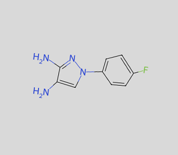 Nc1cn(-c2ccc(F)cc2)nc1N